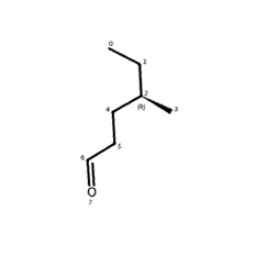 CC[C@@H](C)CCC=O